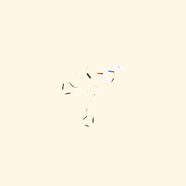 C[C@]1(COCc2ccccc2)O[C@@H](n2ccc(N)nc2=O)[C@@H](C#C[Si](C)(C)C)[C@@H]1OCc1ccccc1